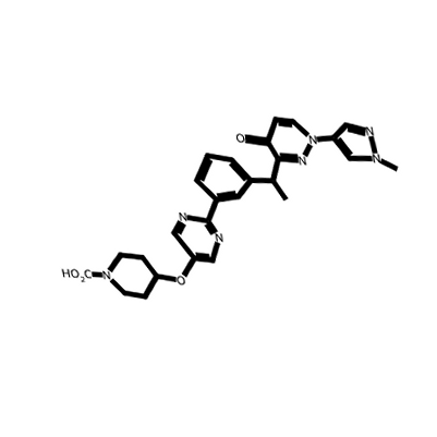 CC(c1cccc(-c2ncc(OC3CCN(C(=O)O)CC3)cn2)c1)c1nn(-c2cnn(C)c2)ccc1=O